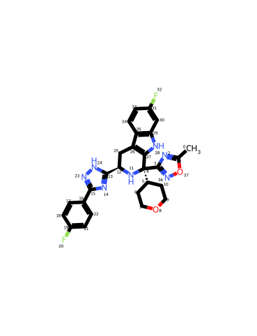 Cc1nc([C@@]2(C3CCOCC3)N[C@@H](c3nc(-c4ccc(F)cc4)n[nH]3)Cc3c2[nH]c2cc(F)ccc32)no1